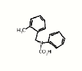 Cc1ccccc1CN(C(=O)O)c1ccccc1